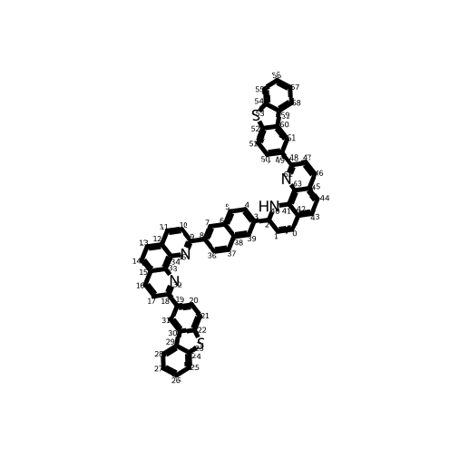 C1=CC(c2ccc3cc(-c4ccc5ccc6ccc(-c7ccc8sc9ccccc9c8c7)nc6c5n4)ccc3c2)Nc2c1ccc1ccc(-c3ccc4sc5ccccc5c4c3)nc21